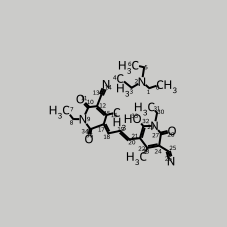 CCN(CC)CC.CCN1C(=O)C(C#N)=C(C)/C(=C\C=C\c2c(C)c(C#N)c(=O)n(CC)c2O)C1=O